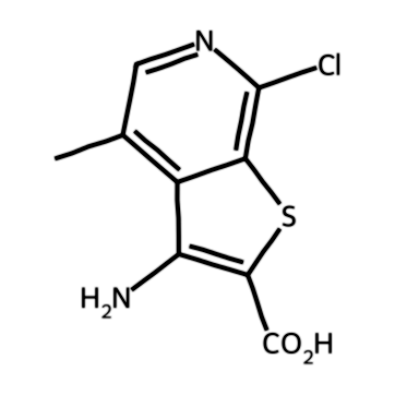 Cc1cnc(Cl)c2sc(C(=O)O)c(N)c12